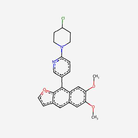 COc1cc2cc3ccoc3c(-c3ccc(N4CCC(Cl)CC4)nc3)c2cc1OC